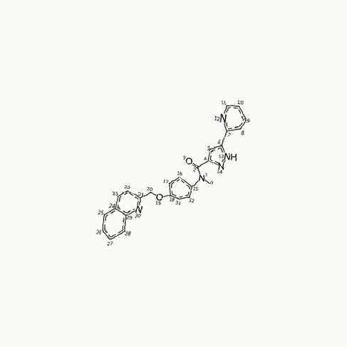 CN(C(=O)c1cc(-c2ccccn2)[nH]n1)c1ccc(OCc2ccc3ccccc3n2)cc1